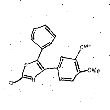 COc1ccc(-c2nc(Cl)sc2-c2ccccc2)cc1OC